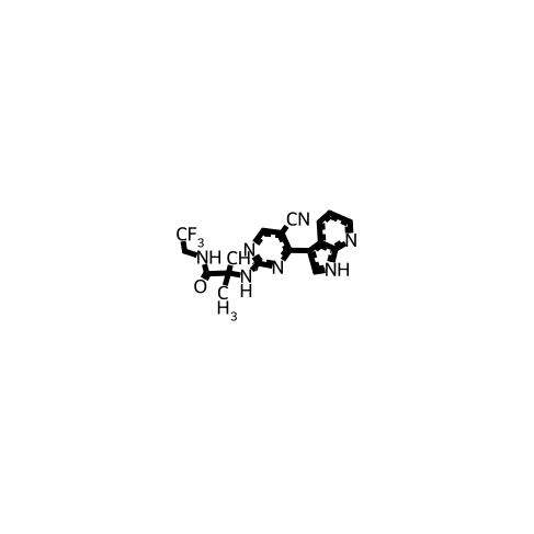 CC(C)(Nc1ncc(C#N)c(-c2c[nH]c3ncccc23)n1)C(=O)NCC(F)(F)F